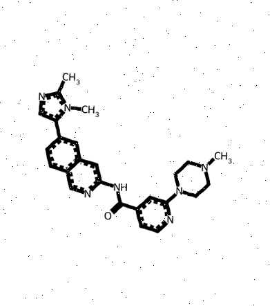 Cc1ncc(-c2ccc3cnc(NC(=O)c4ccnc(N5CCN(C)CC5)c4)cc3c2)n1C